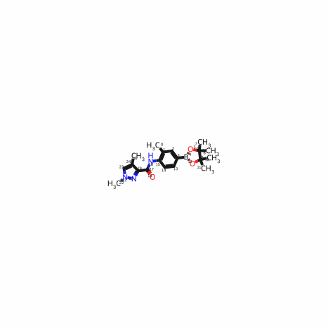 Cc1cc(B2OC(C)(C)C(C)(C)O2)ccc1NC(=O)c1nn(C)cc1C